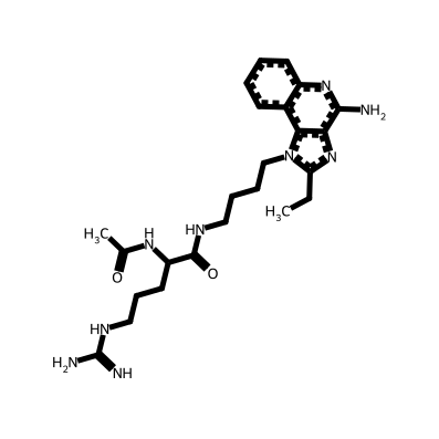 CCc1nc2c(N)nc3ccccc3c2n1CCCCNC(=O)C(CCCNC(=N)N)NC(C)=O